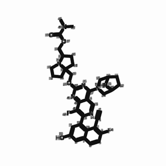 C#Cc1c(F)ccc2cc(O)cc(-c3ncc4c(N5CC6CCC(C5)N6)nc(OCC56CCCN5C(COC(=O)N(C)C)CC6)nc4c3F)c12